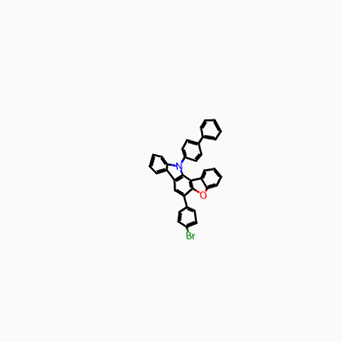 Brc1ccc(-c2cc3c4ccccc4n(-c4ccc(-c5ccccc5)cc4)c3c3c2oc2ccccc23)cc1